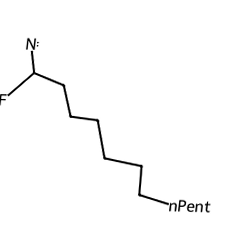 CCCCCCCCCCCC([N])F